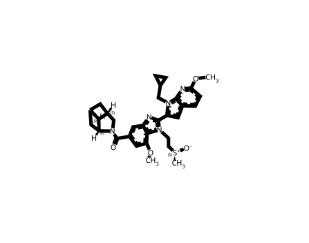 COc1ccc2cc(-c3nc4cc(C(=O)N5C[C@H]6CC7C[C@@H]5[C@H]76)cc(OC)c4n3CC[S@@+](C)[O-])n(CC3CC3)c2n1